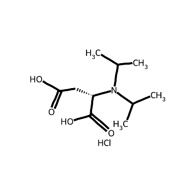 CC(C)N(C(C)C)[C@@H](CC(=O)O)C(=O)O.Cl